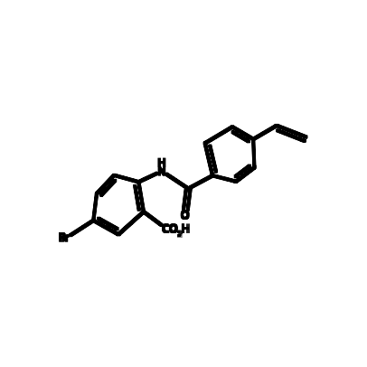 C=Cc1ccc(C(=O)Nc2ccc(Br)cc2C(=O)O)cc1